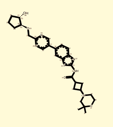 CC1(C)CN(C2CC(C(=O)Nc3nc4ccc(-c5cnc(CO[C@H]6CCC[C@@H]6O)nc5)cc4s3)C2)CCO1